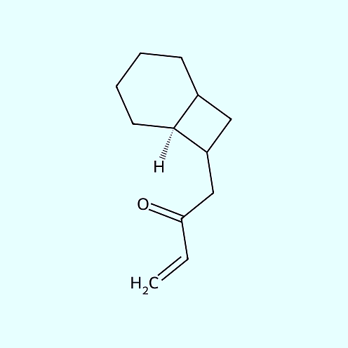 C=CC(=O)CC1CC2CCCC[C@@H]21